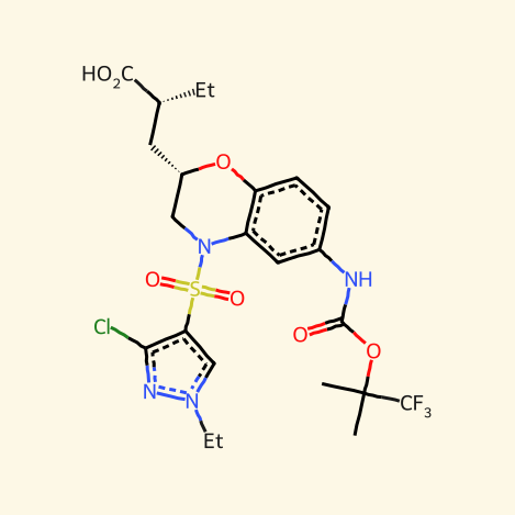 CC[C@H](C[C@H]1CN(S(=O)(=O)c2cn(CC)nc2Cl)c2cc(NC(=O)OC(C)(C)C(F)(F)F)ccc2O1)C(=O)O